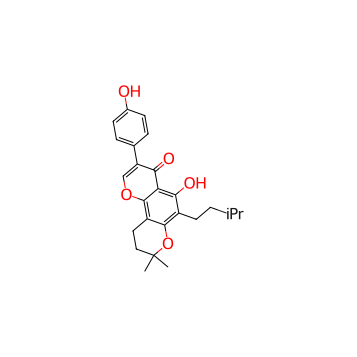 CC(C)CCc1c2c(c3occ(-c4ccc(O)cc4)c(=O)c3c1O)CCC(C)(C)O2